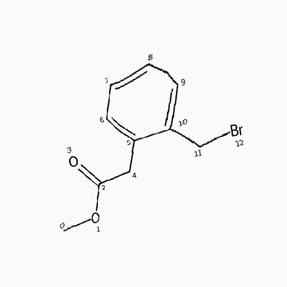 COC(=O)Cc1ccccc1CBr